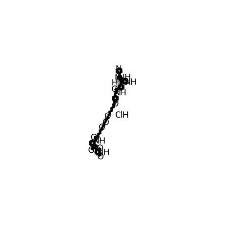 Cl.O=C1CCC(N2Cc3c(NC(=O)CCCCCOCCOCCOCCCCCCOc4ccc(CNC(=O)c5cccc(NC6(c7nnc(-c8ccncc8)[nH]7)CCNCC6)c5)cc4)cccc3C2=O)C(=O)N1